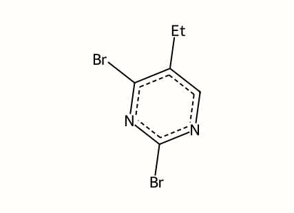 CCc1cnc(Br)nc1Br